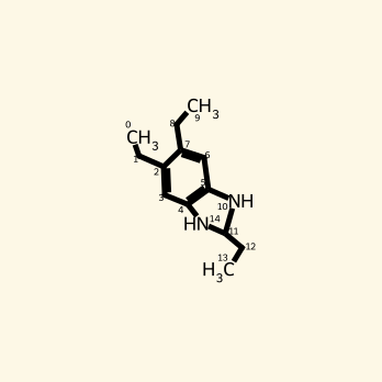 CCc1cc2c(cc1CC)NC(CC)N2